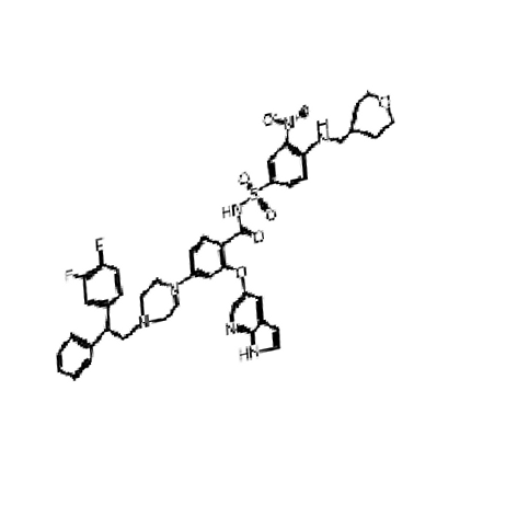 O=C(NS(=O)(=O)c1ccc(NCC2CCOCC2)c([N+](=O)[O-])c1)c1ccc(N2CCN(CC(c3ccccc3)c3ccc(F)c(F)c3)CC2)cc1Oc1cnc2[nH]ccc2c1